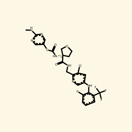 CNc1ncc(OC(=O)N[C@@]2(C(=O)NCc3ncc(Nc4c(F)cccc4C(F)(F)F)cc3Cl)CCOC2)cn1